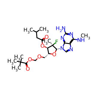 CNc1nc(N)nc2c1ncn2[C@@H]1O[C@H](COCOC(=O)C(C)(C)C)[C@@H](OC(=O)CC(C)C)[C@@]1(C)F